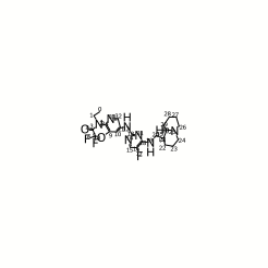 CCN1C(=O)C(F)(F)Oc2cc(Nc3ncc(F)c(NC[C@@H]4CCCN5CCCC[C@H]45)n3)cnc21